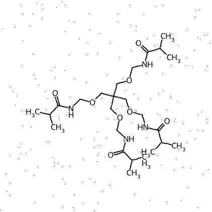 CC(C)C(=O)NCOCC(COCNC(=O)C(C)C)(COCNC(=O)C(C)C)COCNC(=O)C(C)C